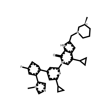 C[C@H]1CCCN(Cc2cc3c(C4CC4)cn(-c4cc(-c5ccc(F)cc5-c5cncn5C)cc(C5CC5)n4)c(=O)c3[nH]2)C1